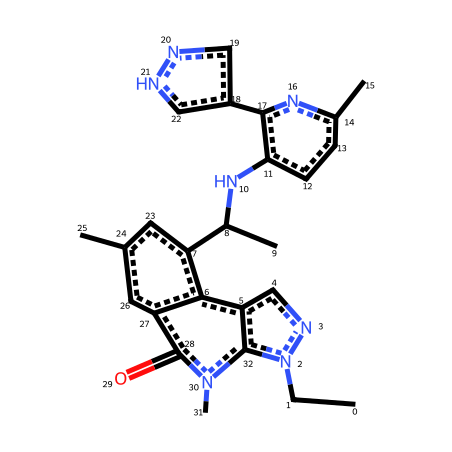 CCn1ncc2c3c(C(C)Nc4ccc(C)nc4-c4cn[nH]c4)cc(C)cc3c(=O)n(C)c21